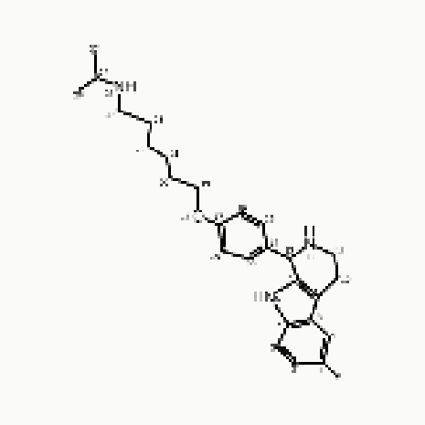 Cc1ccc2[nH]c3c(c2c1)CCNC3c1ccc(OCCCCCCNC(C)C)cc1